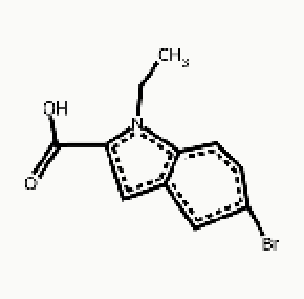 CCn1c(C(=O)O)cc2cc(Br)ccc21